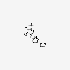 CC(C)(C)N1CCN(Cc2ncc(-c3ccccc3)cn2)C(=O)C1=O